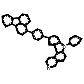 c1ccc(-n2c3ccc(-c4ccc(-c5ccc6c7c(cccc57)-c5ccccc5-6)cc4)cc3c3c4ccncc4ccc32)cc1